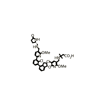 COc1nc(-c2cccc(-c3cccc4c3CC[C@@H]4Oc3nc(OC)c(CNC(C)(C)CC(=O)O)cc3Cl)c2Cl)ccc1CNC[C@@H]1CCC(=O)N1